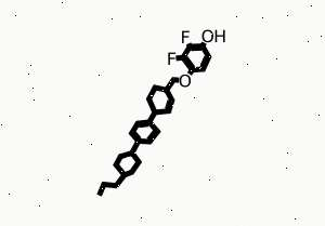 CCCC1CCC(c2ccc(C3C=CC(COc4ccc(O)c(F)c4F)CC3)cc2)CC1